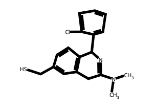 CN(C)C1=NC(c2ccccc2Cl)c2ccc(CS)cc2C1